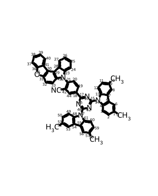 Cc1ccc2c(c1)c1cc(C)ccc1n2-c1nc(-c2ccc(-n3c4ccccc4c4c5c(ccc43)oc3ccccc35)c(C#N)c2)nc(-n2c3ccc(C)cc3c3cc(C)ccc32)n1